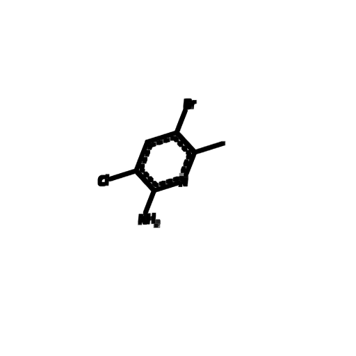 Cc1nc(N)c(Cl)cc1Br